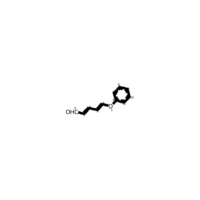 O=C/C=C/C=C/Oc1ccccc1